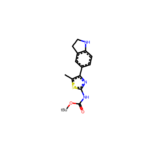 Cc1sc(NC(=O)OC(C)(C)C)nc1-c1ccc2c(c1)CCN2